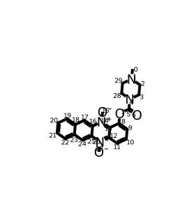 CN1CCN(C(=O)Oc2cccc3c2[n+]([O-])c2cc4ccccc4cc2[n+]3[O-])CC1